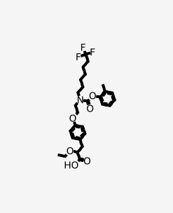 CCOC(Cc1ccc(OCCN(CCCCCCC(F)(F)F)C(=O)Oc2ccccc2C)cc1)C(=O)O